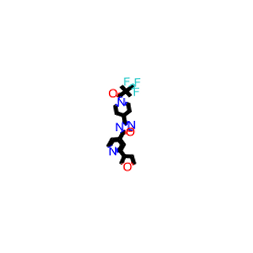 CC(C)(C(=O)N1CCC(c2noc(-c3ccnc(C4CCOC4)c3)n2)CC1)C(F)(F)F